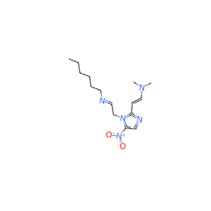 CCCCCCN=CCn1c([N+](=O)[O-])cnc1C=CN(C)C